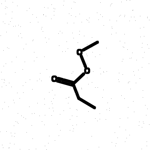 CCC(=O)OOC